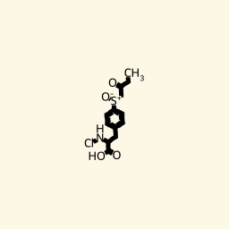 CCC(=O)C[S+]([O-])c1ccc(CC(NCl)C(=O)O)cc1